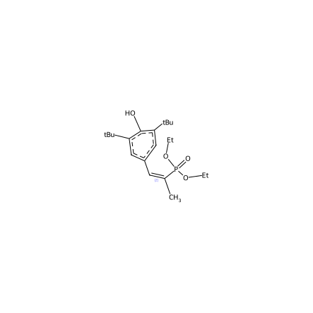 CCOP(=O)(OCC)/C(C)=C\c1cc(C(C)(C)C)c(O)c(C(C)(C)C)c1